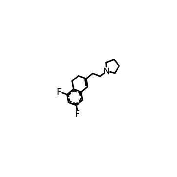 Fc1cc(F)c2c(c1)C=C(CCN1CCCC1)CC2